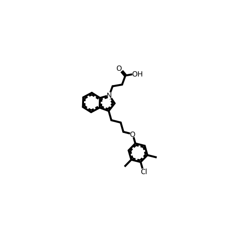 Cc1cc(OCCCc2cn(CCC(=O)O)c3ccccc23)cc(C)c1Cl